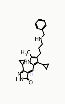 Cc1[nH]c(/C=C2/C(=O)NN=C2C2CC2)c(C2CC2)c1CCCNCc1ccccc1